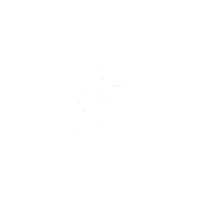 C=C/C(C(=O)NC)=C(C=O)\C=C/C